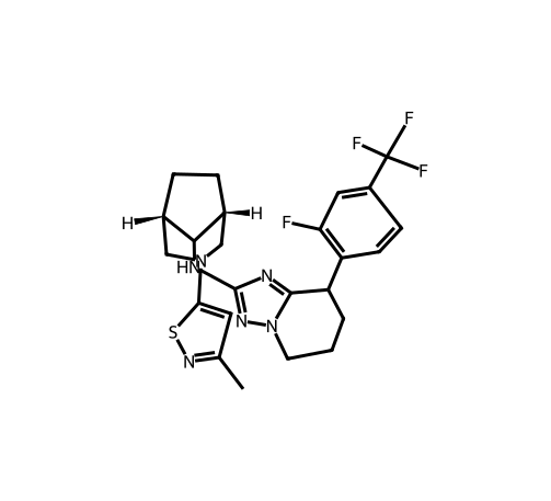 Cc1cc(N2C[C@H]3CC[C@@H](C2)C3Nc2nc3n(n2)CCCC3c2ccc(C(F)(F)F)cc2F)sn1